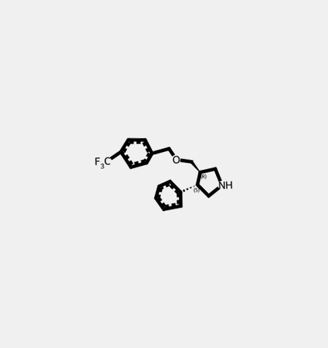 FC(F)(F)c1ccc(COC[C@H]2CNC[C@@H]2c2ccccc2)cc1